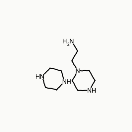 C1CNCCN1.NCCN1CCNCC1